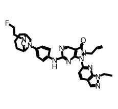 C=CCn1c(=O)c2cnc(Nc3ccc(N4CC5CCCC4CN5CCF)cc3)nc2n1-c1ccc2cnn(CC)c2n1